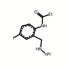 CCCNCc1cc(I)ccc1NC(=O)CC